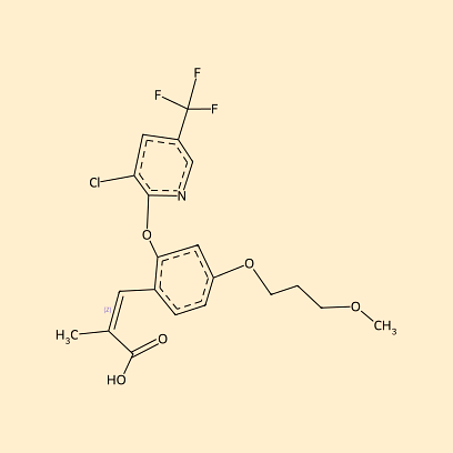 COCCCOc1ccc(/C=C(/C)C(=O)O)c(Oc2ncc(C(F)(F)F)cc2Cl)c1